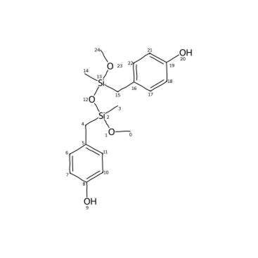 CO[Si](C)(Cc1ccc(O)cc1)O[Si](C)(Cc1ccc(O)cc1)OC